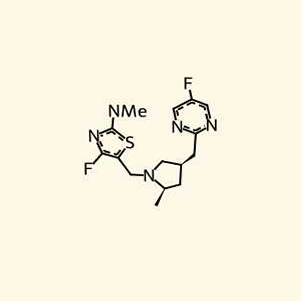 CNc1nc(F)c(CN2C[C@@H](Cc3ncc(F)cn3)C[C@H]2C)s1